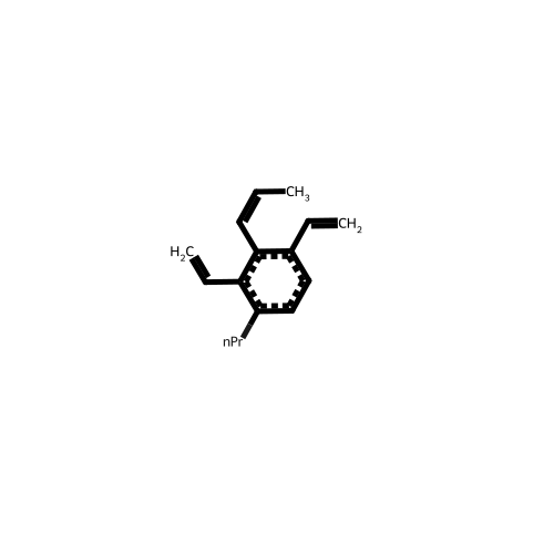 C=Cc1ccc(CCC)c(C=C)c1/C=C\C